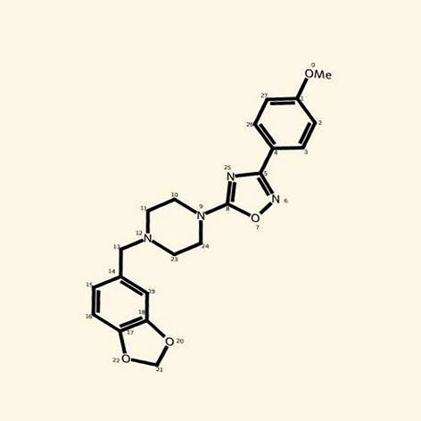 COc1ccc(-c2noc(N3CCN(Cc4ccc5c(c4)OCO5)CC3)n2)cc1